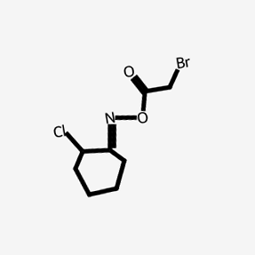 O=C(CBr)ON=C1CCCCC1Cl